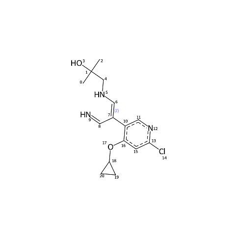 CC(C)(O)CN/C=C(\C=N)c1cnc(Cl)cc1OC1CC1